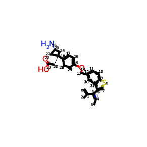 C=C(C)/C(=C\C)c1csc2ccc(COC3=CC=C([C@]4(CC(=O)O)C[C@@H](N)C4)CC3)cc12